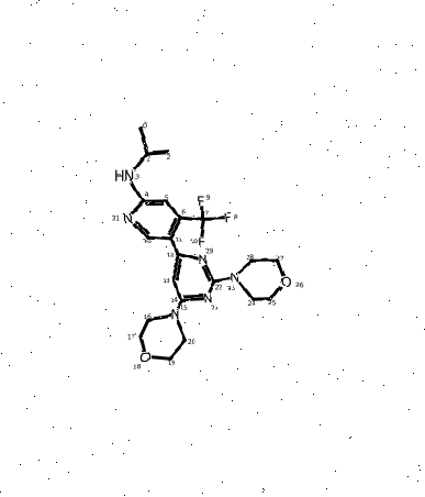 CC(C)Nc1cc(C(F)(F)F)c(-c2cc(N3CCOCC3)nc(N3CCOCC3)n2)cn1